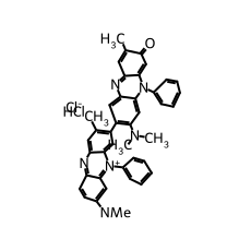 CNc1ccc2nc3cc(C)c(-c4cc5nc6cc(C)c(=O)cc-6n(-c6ccccc6)c5cc4N(C)C)cc3[n+](-c3ccccc3)c2c1.Cl.[Cl-]